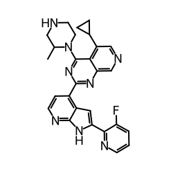 CC1CNCCN1c1nc(-c2ccnc3[nH]c(-c4ncccc4F)cc23)nc2cncc(C3CC3)c12